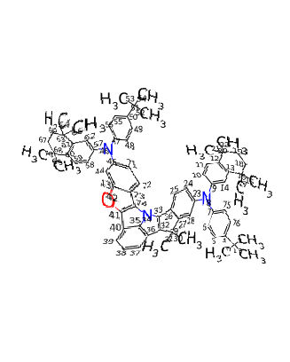 CC(C)(C)c1ccc(N(c2ccc3c(c2)C(C)(C)CCC3(C)C)c2ccc3c(c2)C(C)(C)c2c-3n3c4c2cccc4c2oc4cc(N(c5ccc(C(C)(C)C)cc5)c5ccc6c(c5)C(C)(C)CCC6(C)C)ccc4c23)cc1